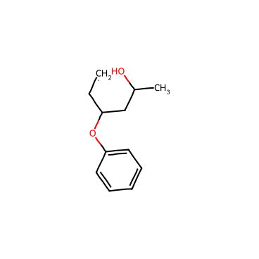 [CH2]CC(CC(C)O)Oc1ccccc1